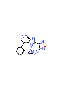 Nc1nonc1-c1nc2cncc(-c3ccccc3)c2n1C1CC1